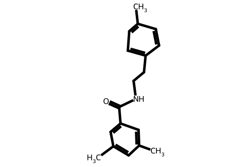 Cc1ccc(CCNC(=O)c2cc(C)cc(C)c2)cc1